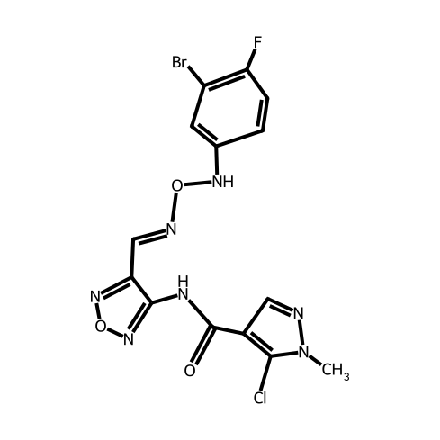 Cn1ncc(C(=O)Nc2nonc2/C=N/ONc2ccc(F)c(Br)c2)c1Cl